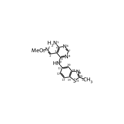 CON=Cc1c(N)ncnc1Nc1ccc2sc(C)nc2c1